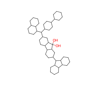 OC1(O)C2CC(C(C3CCC(C4CCCCC4)CC3)C3CCCC4CCCCC43)CCC2C2CCC(C3C4CCCCC4C4CCCCC43)CC21